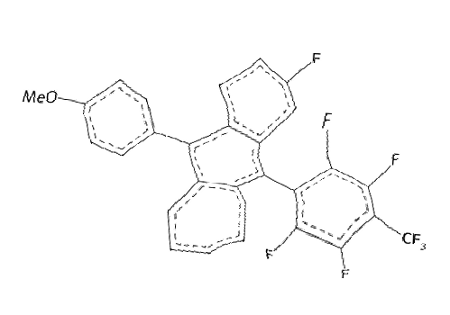 COc1ccc(-c2c3ccccc3c(-c3c(F)c(F)c(C(F)(F)F)c(F)c3F)c3cc(F)ccc23)cc1